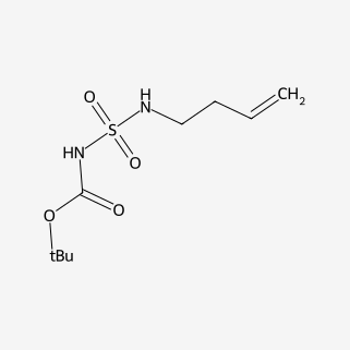 C=CCCNS(=O)(=O)NC(=O)OC(C)(C)C